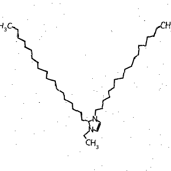 CCCCCCCCCCCCCCCCCCCC1N(CC)C=CN1CCCCCCCCCCCCCCCCCC